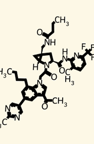 CCCCc1cc(-c2cnc(C)nc2)cc2c(C(C)=O)cn(CC(=O)N3[C@H](C(=O)Nc4nc(C(F)(F)F)ccc4C)C[C@@]4(CNC(=O)CCC)C[C@@H]34)c12